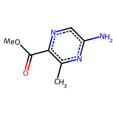 COC(=O)c1ncc(N)nc1C